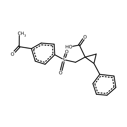 CC(=O)c1ccc(S(=O)(=O)CC2(C(=O)O)CC2c2ccccc2)cc1